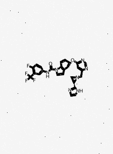 O=C(Nc1ccc(F)c(C(F)(F)F)c1)n1ccc2cc(Oc3cc(CN4C[C@@H]4c4ncc[nH]4)ncn3)ccc21